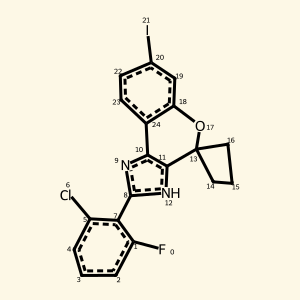 Fc1cccc(Cl)c1-c1nc2c([nH]1)C1(CCC1)Oc1cc(I)ccc1-2